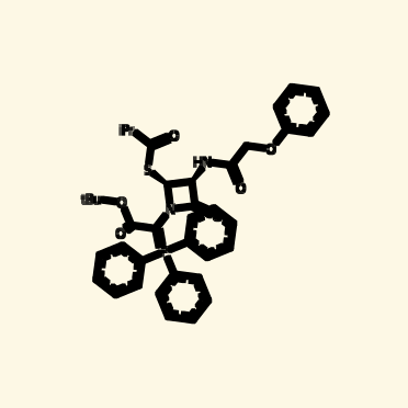 CC(C)C(=O)S[C@H]1[C@@H](NC(=O)COc2ccccc2)C(=O)N1C(C(=O)OC(C)(C)C)=P(c1ccccc1)(c1ccccc1)c1ccccc1